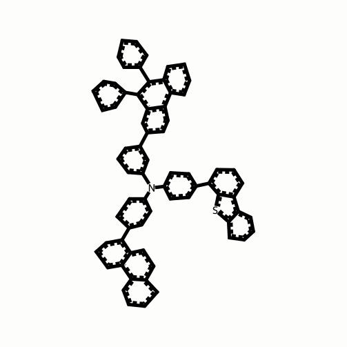 c1ccc(-c2c(-c3ccccc3)c3cc(-c4cccc(N(c5ccc(-c6cccc7c6ccc6ccccc67)cc5)c5ccc(-c6cccc7c6sc6ccccc67)cc5)c4)ccc3c3ccccc23)cc1